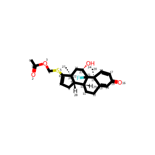 CC(=O)OCSC1=CC[C@H]2[C@@H]3CCC4=CC(=O)C=C[C@]4(C)C3(F)[C@@H](O)C[C@]12C